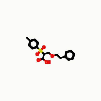 Cc1ccc(S(=O)(=O)C(COCCc2ccccc2)C(=O)O)cc1